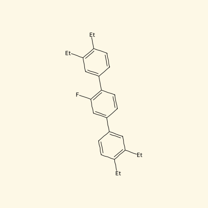 CCc1ccc(-c2ccc(-c3ccc(CC)c(CC)c3)c(F)c2)cc1CC